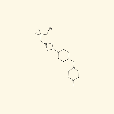 CC(C)CC1(CN2CC(N3CCC(CN4CCN(C)CC4)CC3)C2)CC1